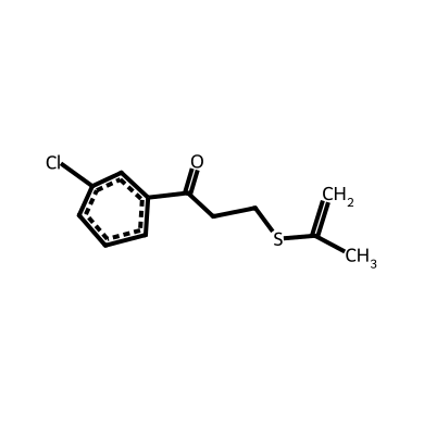 C=C(C)SCCC(=O)c1cccc(Cl)c1